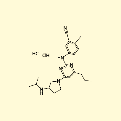 CCCc1cc(N2CCC(NC(C)C)C2)nc(Nc2ccc(C)c(C#N)c2)n1.Cl.Cl